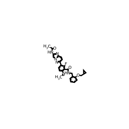 COc1ccc(-c2ccc3nc(NC(C)=O)cn3n2)c(F)c1C(=O)NCc1ccccc1OCC1CC1